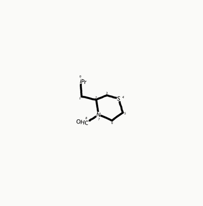 CC(C)CC1CSCCN1C=O